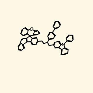 c1ccc(-c2ccc(C(CCc3ccc4c(c3)C3(c5ccccc5Oc5ccccc53)c3ccc5ccccc5c3-4)Cc3ccc4c(c3)c3ccccc3n4-c3ccccc3)cc2)cc1